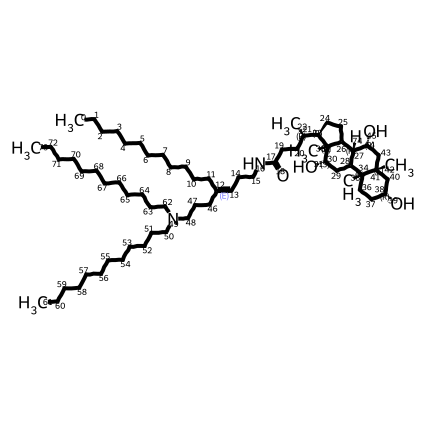 CCCCCCCCCCCC/C(=C\CCNC(=O)CC[C@@H](C)[C@H]1CCC2[C@H]3C(C[C@H](O)[C@@]21C)[C@@]1(C)CC[C@@H](O)C[C@@]1(C)C[C@H]3O)CCCN(CCCCCCCCCCCC)CCCCCCCCCCCC